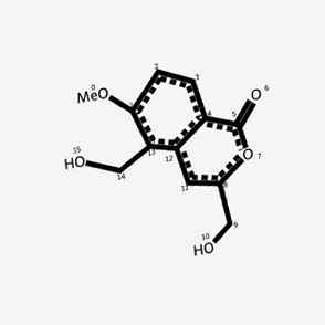 COc1ccc2c(=O)oc(CO)cc2c1CO